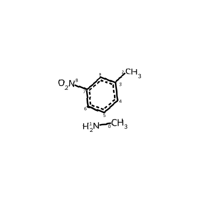 CN.Cc1cccc([N+](=O)[O-])c1